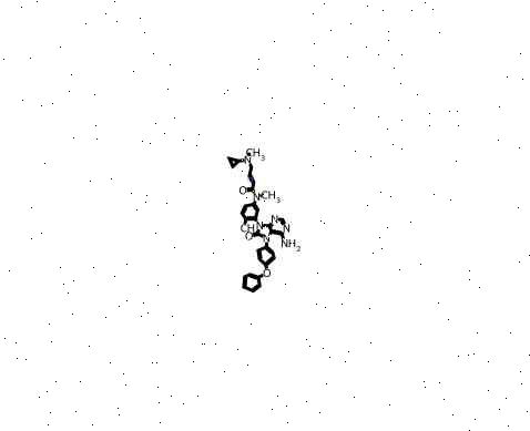 Cc1ccc(N(C)C(=O)/C=C/CN(C)C2CC2)cc1-n1c(=O)n(-c2ccc(Oc3ccccc3)cc2)c2c(N)ncnc21